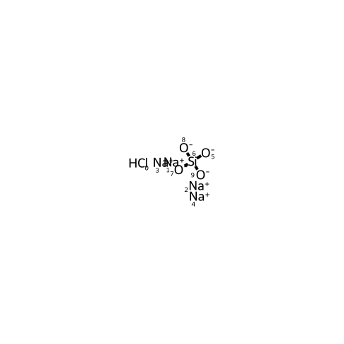 Cl.[Na+].[Na+].[Na+].[Na+].[O-][Si]([O-])([O-])[O-]